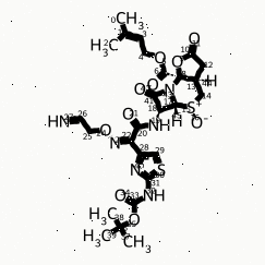 CC(C)=CCOC(=O)[C@]12OC(=O)C[C@H]1C[S@+]([O-])[C@@H]1[C@H](NC(=O)/C(=N\OCC=N)c3csc(NC(=O)OC(C)(C)C)n3)C(=O)N12